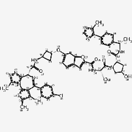 Cc1ncsc1-c1ccc([C@H](C)NC(=O)[C@@H]2C[C@@H](O)CN2C(=O)[C@@H](NC(=O)C2=CC3=CC=C(O[C@H]4C[C@H](NC(=O)C[C@@H]5N=C(c6ccc(Cl)cc6)c6c(sc(C)c6C)-n6c(C)nnc65)C4)CC3O2)C(C)(C)C)cc1